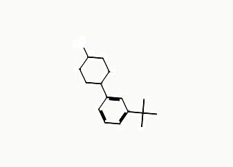 CC(C)(C)c1cccc([C]2CCC(O)CC2)c1